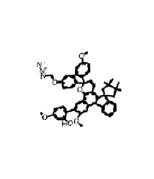 COc1ccc(C2(c3ccc(OCN=[N+]=[N-])cc3)C=Cc3c4c(c5cc(OC)c(-c6ccc(OC)cc6O)cc5c3O2)-c2ccccc2C42CC(C)(C)C(C)(C)C2)cc1